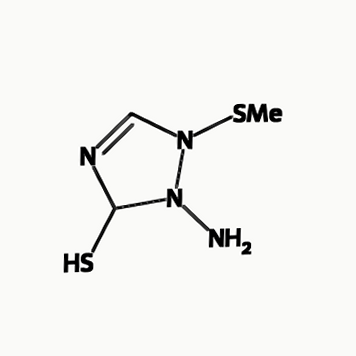 CSN1C=NC(S)N1N